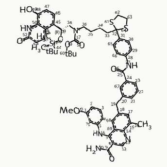 COc1cccc(Nc2c(C(N)=O)cnc3c(C)cc(Cc4cccc(C(=O)Nc5ccc(C6(CCCCN(C[C@H](O[Si](C)(C)C(C)(C)C)c7ccc(O)c8[nH]c(=O)ccc78)C(=O)OC(C)(C)C)SCCS6)cc5)c4)cc23)c1